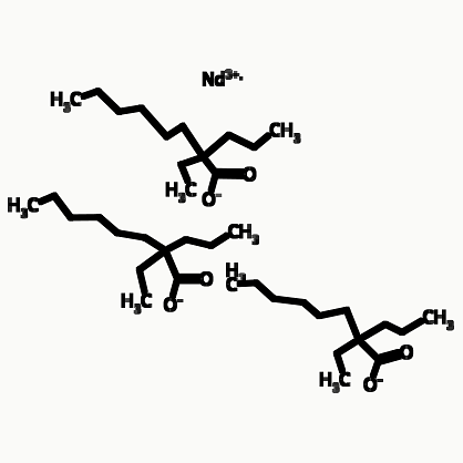 CCCCCCC(CC)(CCC)C(=O)[O-].CCCCCCC(CC)(CCC)C(=O)[O-].CCCCCCC(CC)(CCC)C(=O)[O-].[Nd+3]